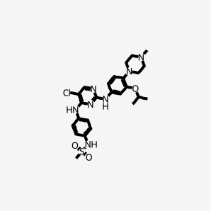 CC(C)Oc1cc(Nc2ncc(Cl)c(Nc3ccc(NS(C)(=O)=O)cc3)n2)ccc1N1CCN(C)CC1